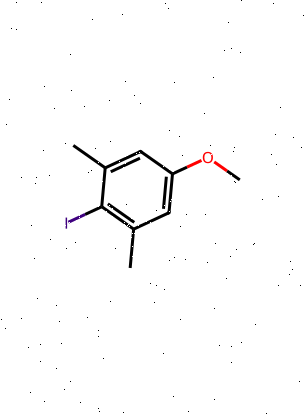 COc1cc(C)c(I)c(C)c1